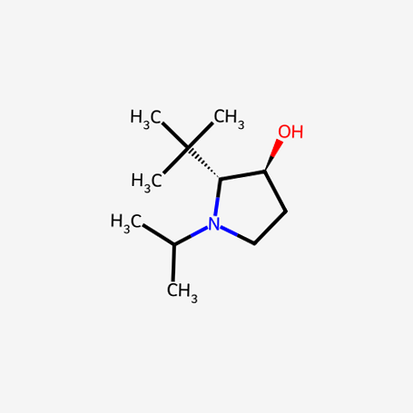 CC(C)N1CC[C@H](O)[C@H]1C(C)(C)C